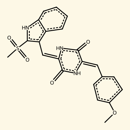 COc1ccc(/C=c2\[nH]c(=O)/c(=C/c3c(S(C)(=O)=O)[nH]c4ccccc34)[nH]c2=O)cc1